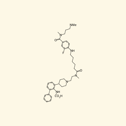 CNCCCN(C)C(=O)c1ccc(NCCCCCC(=O)N(C)CCN2CCC(c3cccc(-c4ccccc4)c3NC(=O)O)CC2)c(F)c1